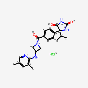 Cc1cnc(NC2CN(C(=O)c3ccc([C@@]4(C(C)C)NC(=O)NC4=O)cc3)C2)c(C)c1.Cl